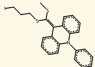 CSC(SCCCI)=C1c2ccccc2N(c2ccccc2)c2ccccc21